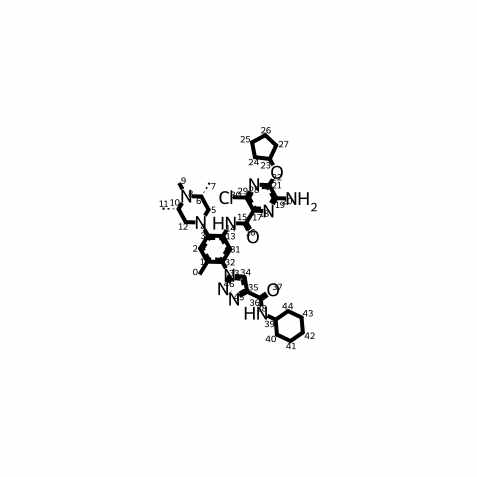 Cc1cc(N2C[C@@H](C)N(C)[C@@H](C)C2)c(NC(=O)c2nc(N)c(OC3CCCC3)nc2Cl)cc1-n1cc(C(=O)NC2CCCCC2)nn1